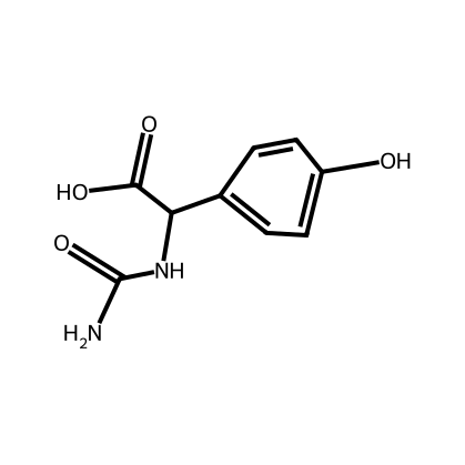 NC(=O)NC(C(=O)O)c1ccc(O)cc1